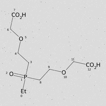 CCP(=O)(CCOCC(=O)O)CCOCC(=O)O